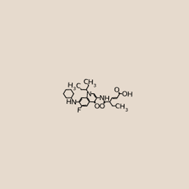 CCC(C=CC(=O)O)C(=O)Nc1cn(C(CC)CC)c2cc(NC3CCCCC3)c(F)cc2c1=O